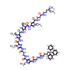 CN(C)CCCNC(=O)CCNC(=O)c1cc(NC(=O)c2cc(NC(=O)c3cc(NC(=O)c4nc(NC(=O)CCNC(=O)c5cc(NC(=O)CCNC(=O)CCCC[PH](c6ccccc6)(c6ccccc6)c6ccccc6)cn5C)cn4C)cn3C)cn2C)cn1C